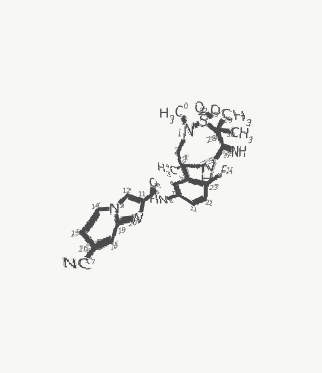 CN1C[C@@](C)(c2cc(NC(=O)c3cn4ccc(C#N)cc4n3)ccc2F)NC(=N)C(C)(C)S1(=O)=O